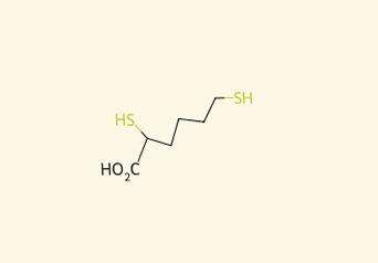 O=C(O)C(S)CCCCS